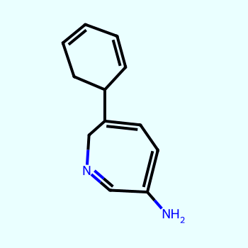 NC1=CC=C(C2C=CC=CC2)CN=C1